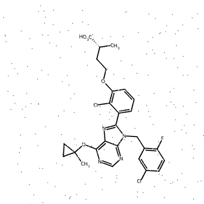 C[C@H](CCOc1cccc(-c2nc3c(OC4(C)CC4)ncnc3n2Cc2cc(Cl)ccc2F)c1Cl)C(=O)O